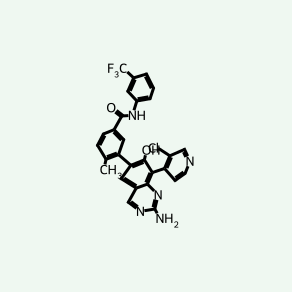 Cc1ccc(C(=O)Nc2cccc(C(F)(F)F)c2)cc1-c1cc2cnc(N)nc2c(-c2ccncc2Cl)c1O